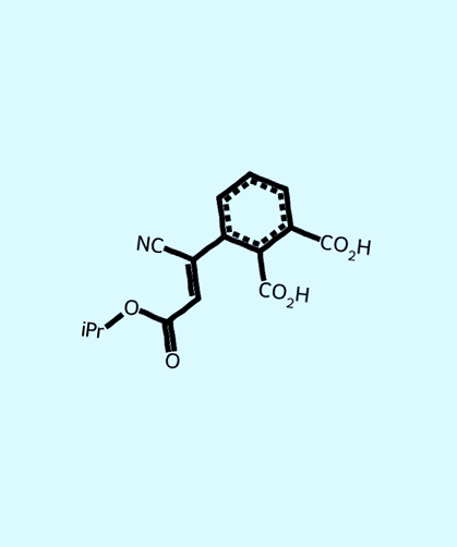 CC(C)OC(=O)C=C(C#N)c1cccc(C(=O)O)c1C(=O)O